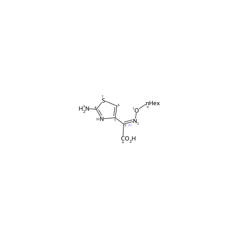 CCCCCCO/N=C(/C(=O)O)c1csc(N)n1